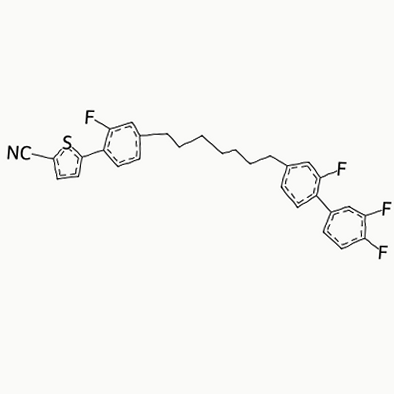 N#Cc1ccc(-c2ccc(CCCCCCCc3ccc(-c4ccc(F)c(F)c4)c(F)c3)cc2F)s1